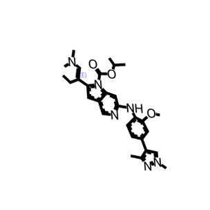 CC/C(=C\N(C)C)c1cc2cnc(Nc3ccc(-c4cn(C)nc4C)cc3OC)cc2n1C(=O)OC(C)C